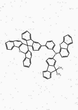 CC1(C)c2ccccc2-c2ccc(N(c3cccc(-c4ccc5c(c4)-c4ccccc4C54c5ccc6ccccc6c5Oc5c4ccc4ccccc54)c3)c3cccc4c3sc3ccccc34)cc21